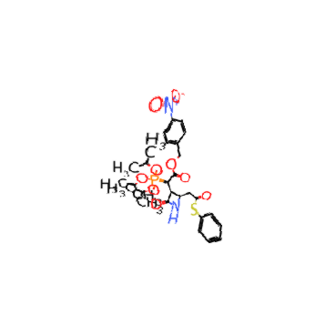 CC(C)OP(OC(C)C)(OC(C)C)=C(C(=O)OCc1ccc([N+](=O)[O-])cc1)[C@@H]1C(=O)N[C@@H]1CC(=O)Sc1ccccc1